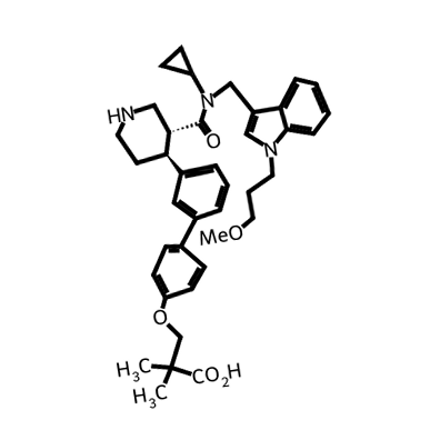 COCCCn1cc(CN(C(=O)[C@H]2CNCC[C@@H]2c2cccc(-c3ccc(OCC(C)(C)C(=O)O)cc3)c2)C2CC2)c2ccccc21